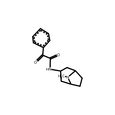 CN1C2CCC1CC(NC(=O)C(=O)c1ccccc1)C2